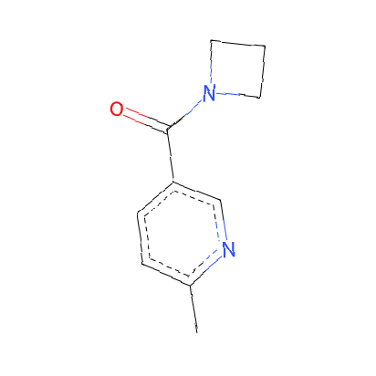 Cc1ccc(C(=O)N2CCC2)cn1